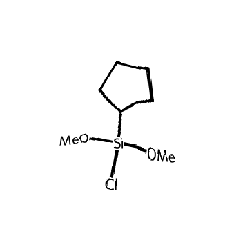 CO[Si](Cl)(OC)C1CCCC1